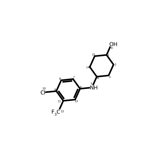 OC1CCC(Nc2ccc(Cl)c(C(F)(F)F)c2)CC1